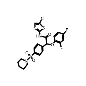 O=C(Nc1ncc(Cl)s1)C(Oc1ccc(F)cc1F)c1ccc(S(=O)(=O)N2CCCCC2)cc1